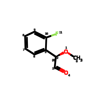 CO[C@@H]([C]=O)c1ccccc1F